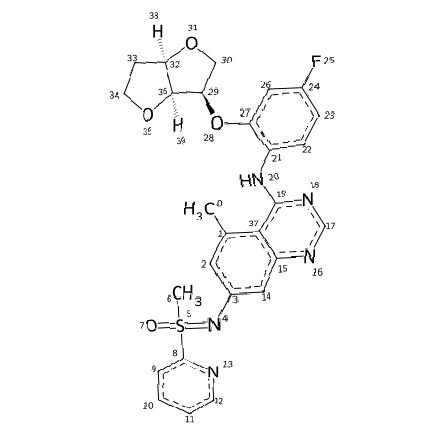 Cc1cc(N=S(C)(=O)c2ccccn2)cc2ncnc(Nc3ccc(F)cc3O[C@@H]3CO[C@@H]4CCO[C@@H]43)c12